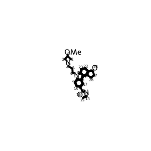 COC1CN(CCCn2c3ccc(-c4ncco4)cc3c3c4c(ccc32)C(=O)CC4)C1